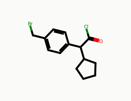 O=C(Cl)C(c1ccc(CBr)cc1)C1CCCC1